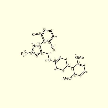 COC1=CC=CC(OC)C1C1CC=C(OCc2cc(C(F)(F)F)nn2-c2c(Cl)cccc2Cl)CC1